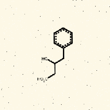 O=C(O)CC(O)Cc1ccccc1